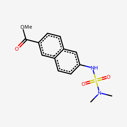 COC(=O)c1ccc2cc(NS(=O)(=O)N(C)C)ccc2c1